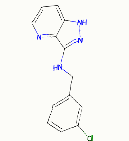 Clc1cccc(CNc2n[nH]c3cccnc23)c1